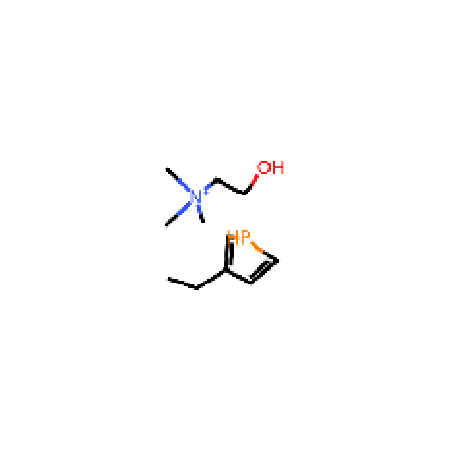 CCc1cc[pH]c1.C[N+](C)(C)CCO